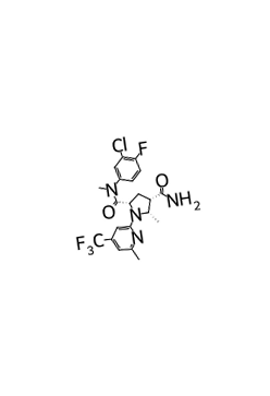 Cc1cc(C(F)(F)F)cc(N2[C@H](C(=O)N(C)c3ccc(F)c(Cl)c3)C[C@H](C(N)=O)[C@@H]2C)n1